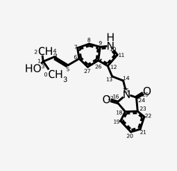 CC(C)(O)C=Cc1ccc2[nH]cc(CCN3C(=O)c4ccccc4C3=O)c2c1